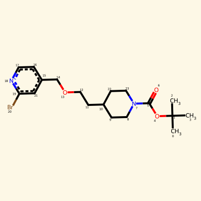 CC(C)(C)OC(=O)N1CCC(CCOCc2ccnc(Br)c2)CC1